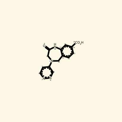 O=C1CN(c2ccnnc2)Cc2ccc(C(=O)O)cc2N1